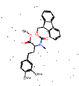 COc1ccc(CCC(C(=O)OC(C)(C)C)N(C)C(=O)OCC2c3ccccc3-c3ccccc32)cc1OC